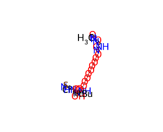 Cc1ncsc1-c1ccc(CNC(=O)[C@@H]2C[C@@H](O)CN2C(=O)[C@@H](NC(=O)CCOCCOCCOCCOCCOCCOCCOCCOCCOc2ccc(C(=O)Nc3ccc4oc(-c5ccc(=O)n(C)n5)nc4c3)nc2)C(C)(C)C)cc1